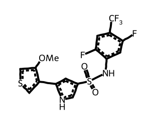 COc1cscc1-c1cc(S(=O)(=O)Nc2cc(F)c(C(F)(F)F)cc2F)c[nH]1